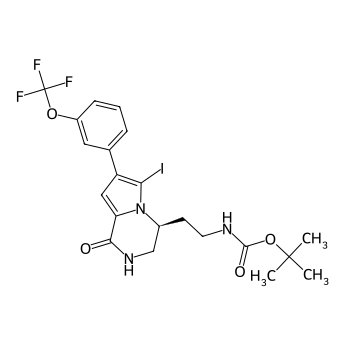 CC(C)(C)OC(=O)NCC[C@H]1CNC(=O)c2cc(-c3cccc(OC(F)(F)F)c3)c(I)n21